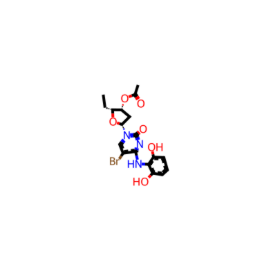 CC[C@H]1O[C@@H](n2cc(Br)c(Nc3c(O)cccc3O)nc2=O)C[C@H]1OC(C)=O